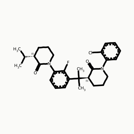 CC(C)[C@@H]1CCCN(c2cccc(C(C)(C)[C@@H]3CCCN(c4ccccc4Cl)C3=O)c2F)C1=O